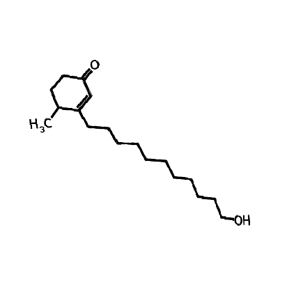 CC1CCC(=O)C=C1CCCCCCCCCCCO